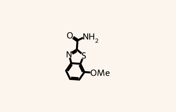 COc1cccc2nc(C(N)=O)sc12